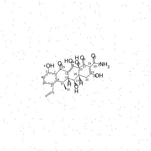 C=Cc1ccc(O)c2c1[C@H](C)[C@@H]1C(=C(O)[C@]3(O)C(=O)C(C(N)=O)=C(O)C[C@@H]3[C@H]1O)C2=O